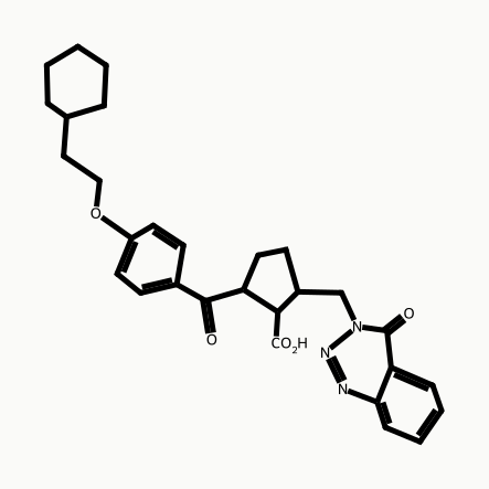 O=C(c1ccc(OCCC2CCCCC2)cc1)C1CCC(Cn2nnc3ccccc3c2=O)C1C(=O)O